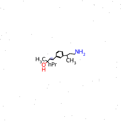 CCCC(C)(O)/C=C/c1cccc(C(C)CCN)c1